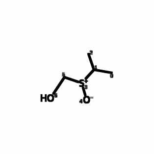 CC(C)[S+]([O-])CO